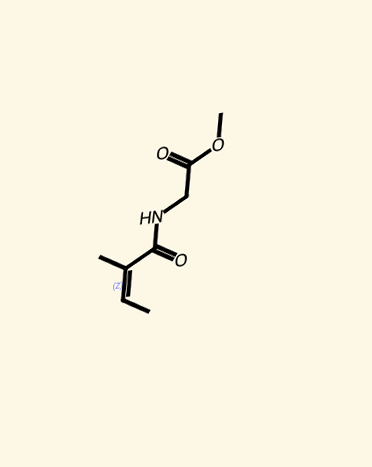 C/C=C(/C)C(=O)NCC(=O)OC